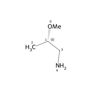 CO[C@@H](C)CN